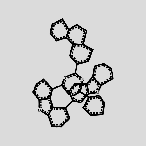 c1ccc(-c2nc(-c3ccc4ccc5ccccc5c4c3)nc(-c3cccc4oc5cccc(-c6ccc7c(c6)oc6ccccc67)c5c34)n2)cc1